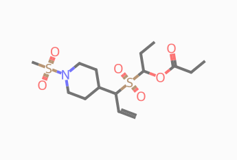 C=CC(C1CCN(S(C)(=O)=O)CC1)S(=O)(=O)C(CC)OC(=O)CC